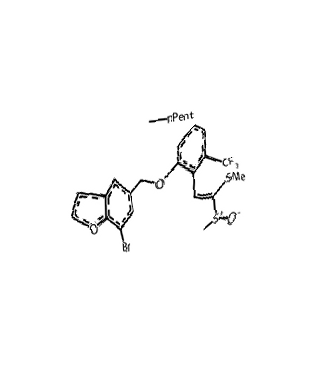 CCCCCC.CS/C(=C\c1c(OCc2cc(Br)c3occc3c2)cccc1C(F)(F)F)[S+](C)[O-]